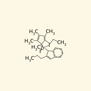 CCCC1=Cc2ccccc2[CH]1[Zr]([I])([I])[C]1(C)C(C)=C(C)C(C)=C1CCC